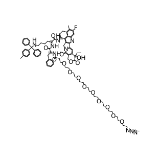 CC[C@@]1(O)C(=O)OCc2c1cc1n(c2=O)Cc2c-1nc1cc(F)c(C)c3c1c2[C@@H](NC(=O)[C@H](CCCCNC(c1ccccc1)(c1ccccc1)c1ccc(C)cc1)NC(=O)[C@H](Cc1ccccc1)NC(=O)CCOCCOCCOCCOCCOCCOCCOCCOCCOCCN=[N+]=[N-])CC3